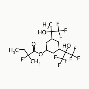 CCC(C)(F)C(=O)OC1CC(C(C)(O)C(F)(F)F)CC(C(O)(C(F)(F)F)C(F)(F)F)C1